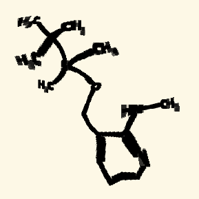 CNc1ncccc1CO[Si](C)(C)C(C)(C)C